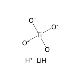 [H+].[LiH].[O-][Ti]([O-])([O-])[O-]